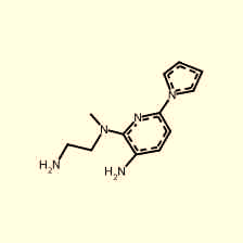 CN(CCN)c1nc(-n2cccc2)ccc1N